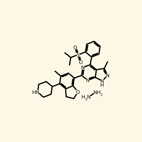 Cc1cc(-c2nc(-c3ccccc3S(=O)(=O)C(C)C)c3c(C)n[nH]c3n2)c2c(c1C1CCNCC1)CCO2.NN